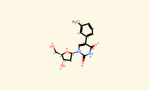 Cc1cccc(-c2cn([C@H]3C[C@H](O)[C@@H](CO)O3)c(=O)[nH]c2=O)c1